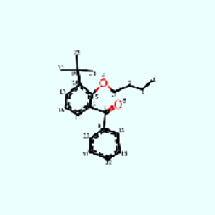 CCCCOc1c(C(=O)c2ccccc2)cccc1C(C)(C)C